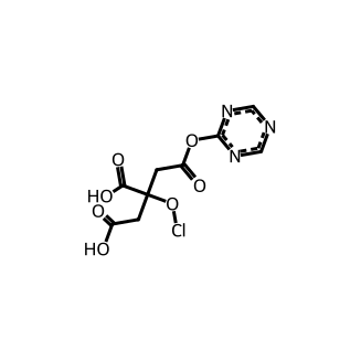 O=C(O)CC(CC(=O)Oc1ncncn1)(OCl)C(=O)O